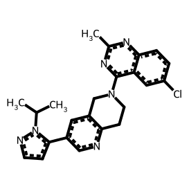 Cc1nc(N2CCc3ncc(-c4ccnn4C(C)C)cc3C2)c2cc(Cl)ccc2n1